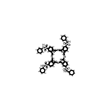 O=S(=O)(NC1CCCCC1)c1ccc2c(c1)-c1nc-2nc2[nH]c(nc3nc(nc4[nH]c(n1)c1ccc(S(=O)(=O)NC5CCCCC5)cc41)-c1cc(S(=O)(=O)NC4CCCCC4)ccc1-3)c1cc(S(=O)(=O)NC3CCCCC3)ccc21